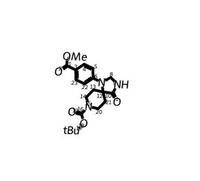 COC(=O)c1ccc(N2CNC(=O)C23CCN(C(=O)OC(C)(C)C)CC3)cc1